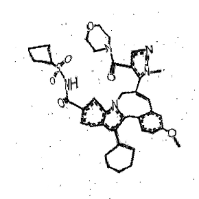 COc1ccc2c(c1)C=C(c1c(C(=O)N3CCOCC3)cnn1C)Cn1c-2c(C2CCCCC2)c2ccc(C(=O)NS(=O)(=O)C3CCC3)cc21